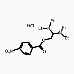 CCN(CC)C(COC(=O)c1ccc([N+](=O)[O-])cc1)N(CC)CC.Cl